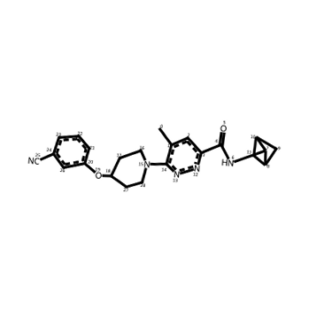 Cc1cc(C(=O)NC2C3CC2C3)nnc1N1CCC(Oc2cccc(C#N)c2)CC1